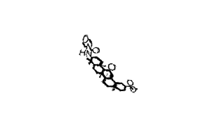 COC(=O)[C@H]1CC[C@]2(C)CC[C@]3(C)C(=CC(=O)C4[C@@]5(C)CCC(NC(=O)N6CCOCC6)C(C)(C)C5CC[C@]43C)C2C1